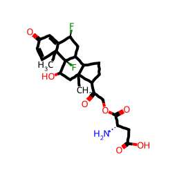 CC12CC(O)[C@@]3(F)C(C[C@H](F)C4=CC(=O)C=CC43C)C1CCC2C(=O)COC(=O)[C@@H](N)CC(=O)O